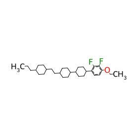 CCCC1CCC(CCC2CCC(C3CCC(c4ccc(OCC)c(F)c4F)CC3)CC2)CC1